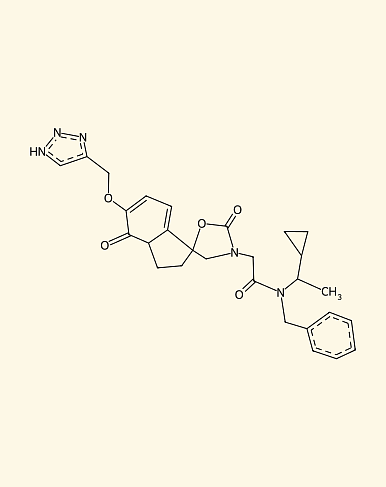 CC(C1CC1)N(Cc1ccccc1)C(=O)CN1CC2(CCC3C(=O)C(OCc4c[nH]nn4)=CC=C32)OC1=O